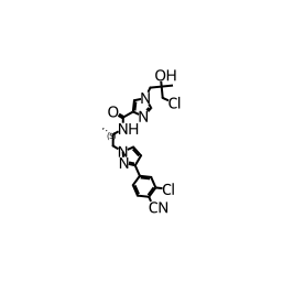 C[C@@H](Cn1ccc(-c2ccc(C#N)c(Cl)c2)n1)NC(=O)c1cn(CC(C)(O)CCl)cn1